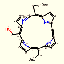 CCCCCCCCCCCC1=C2C=CC(=N2)C=C2C=CC(=N2)C(CCCCCCCCCCC)=C2C=CC(=N2)C(CO)=C2C=CC1=N2